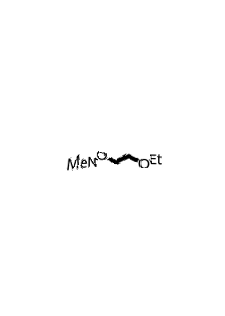 CCOCCONC